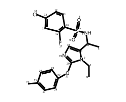 CCn1c(C(C)NS(=O)(=O)c2ccc(Cl)cc2F)cnc1Oc1ccc(C)cc1